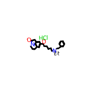 CCN(CCCCCC(=O)c1cc2c3c(c1)CC(=O)N3CCC2)CCc1ccccc1.Cl